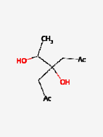 CC(=O)CC(O)(CC(C)=O)C(C)O